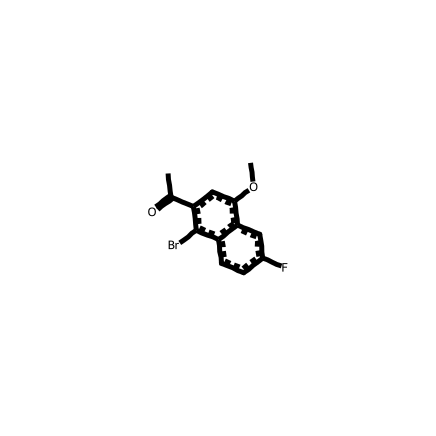 COc1cc(C(C)=O)c(Br)c2ccc(F)cc12